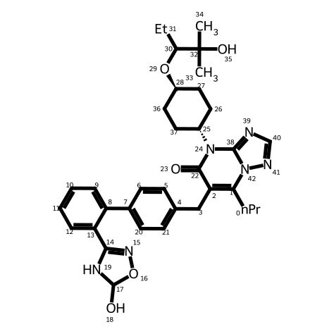 CCCc1c(Cc2ccc(-c3ccccc3C3=NOC(O)N3)cc2)c(=O)n([C@H]2CC[C@H](OC(CC)C(C)(C)O)CC2)c2ncnn12